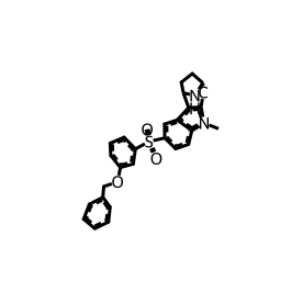 Cn1c2c(c3cc(S(=O)(=O)c4cccc(OCc5ccccc5)c4)ccc31)C1CCC(C2)N1